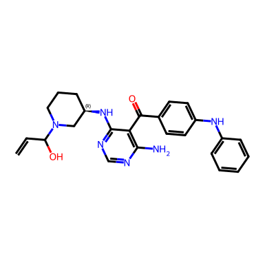 C=CC(O)N1CCC[C@@H](Nc2ncnc(N)c2C(=O)c2ccc(Nc3ccccc3)cc2)C1